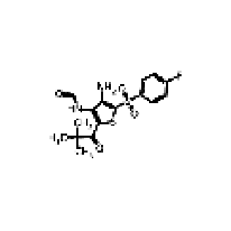 CC(C)(C)C(=O)c1sc(S(=O)(=O)c2ccc(F)cc2)c(N)c1NC=O